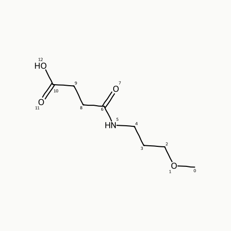 COCCCNC(=O)CCC(=O)O